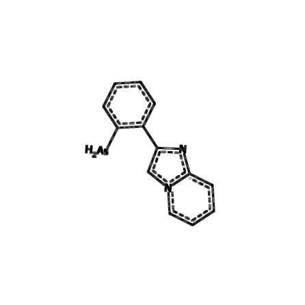 [AsH2]c1ccccc1-c1cn2ccccc2n1